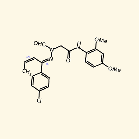 C/C=C\C(=N/N(C=O)CC(=O)Nc1ccc(OC)cc1OC)c1ccc(Cl)cc1